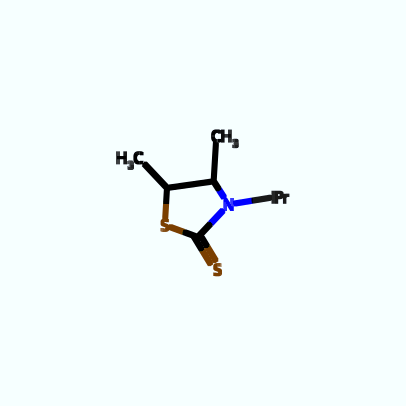 CC1SC(=S)N(C(C)C)C1C